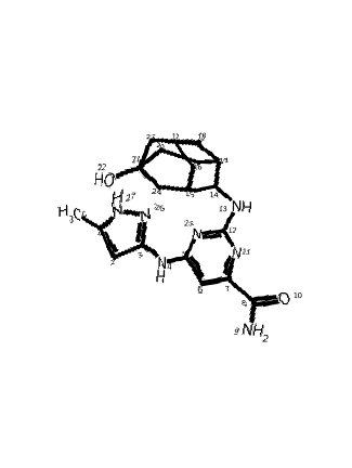 Cc1cc(Nc2cc(C(N)=O)nc(NC3C4CC5CC3CC(O)(C5)C4)n2)n[nH]1